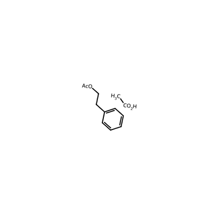 CC(=O)O.CC(=O)OCCc1ccccc1